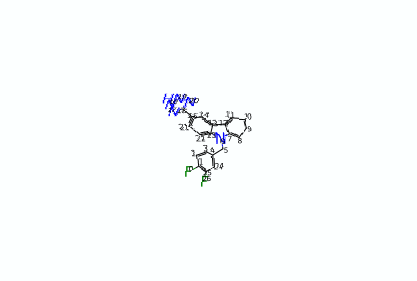 Fc1ccc(Cn2c3ccccc3c3cc(-c4nn[nH]n4)ccc32)cc1F